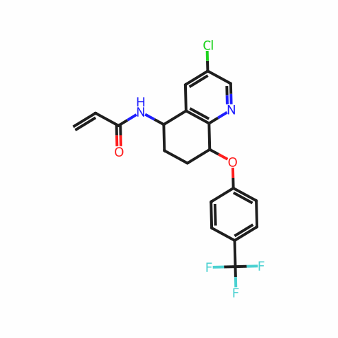 C=CC(=O)NC1CCC(Oc2ccc(C(F)(F)F)cc2)c2ncc(Cl)cc21